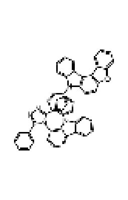 c1ccc(-c2nnc(-c3ccccc3)n2-c2cccc3c4ccccc4n(-c4cccc(-n5c6ccccc6c6c7c(ccc65)oc5ccccc57)c4)c23)cc1